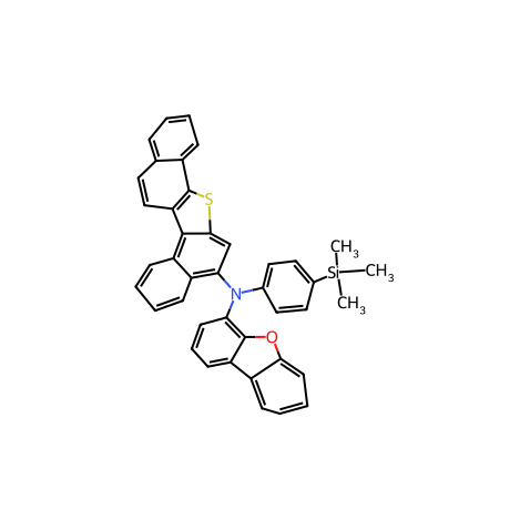 C[Si](C)(C)c1ccc(N(c2cc3sc4c5ccccc5ccc4c3c3ccccc23)c2cccc3c2oc2ccccc23)cc1